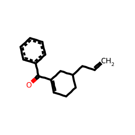 C=CCC1CCC=C(C(=O)c2ccccc2)C1